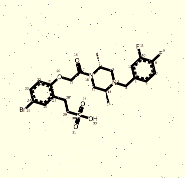 C[C@@H]1CN(Cc2ccc(F)c(F)c2)[C@@H](C)CN1C(=O)COc1ccc(Br)cc1CCS(=O)(=O)O